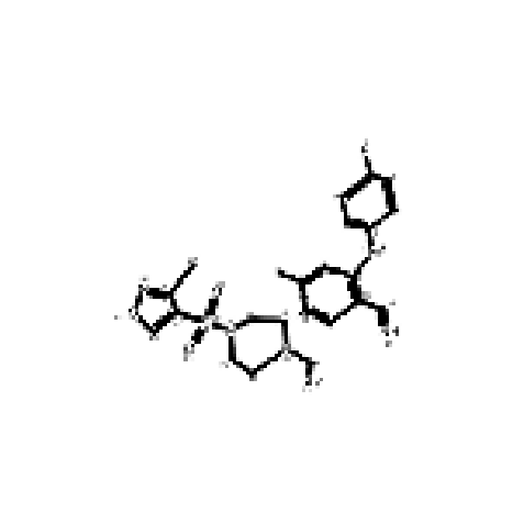 Cc1cc(Nc2ccc(F)cc2)c(C=N)cc1[C@H]1CN(S(=O)(=O)c2conc2C)CCN1CC(C)C